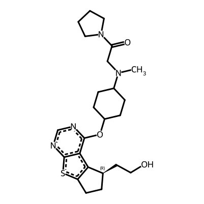 CN(CC(=O)N1CCCC1)C1CCC(Oc2ncnc3sc4c(c23)[C@@H](CCO)CC4)CC1